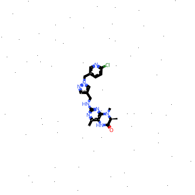 Cc1nc(NCc2cnn(Cc3ccc(Cl)nc3)c2)nc2c1NC(=O)[C@H](C)N2C